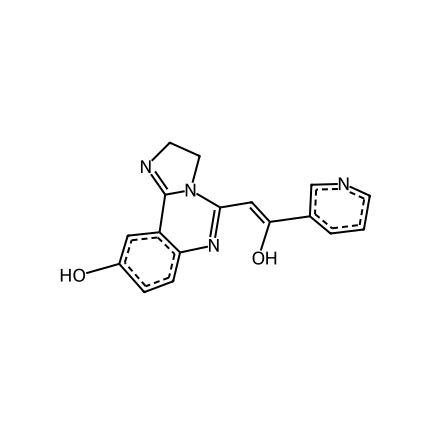 O/C(=C\C1=Nc2ccc(O)cc2C2=NCCN12)c1cccnc1